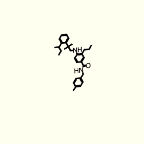 CCCc1cc(C(=O)NCc2ccc(C)cc2)ccc1NCC(C)(C)c1ccccc1C(C)CC